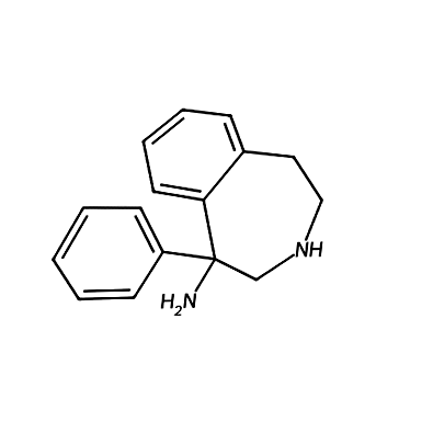 NC1(c2ccccc2)CNCCc2ccccc21